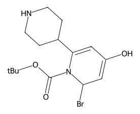 CC(C)(C)OC(=O)N1C(C2CCNCC2)=CC(O)=CC1Br